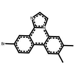 Cc1cc2c3ccc(Br)cc3c3nccn3c2cc1C